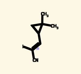 CC1(C)CC1/C=C(\I)C#N